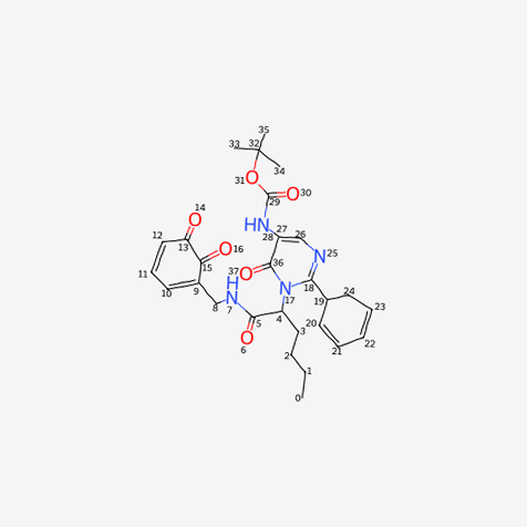 CCCCC(C(=O)NCC1=CC=CC(=O)C1=O)n1c(C2C=CC=CC2)ncc(NC(=O)OC(C)(C)C)c1=O